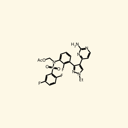 CCn1cc(-c2ccnc(N)n2)c(-c2cccc(N(COC(C)=O)S(=O)(=O)c3cc(F)ccc3F)c2F)n1